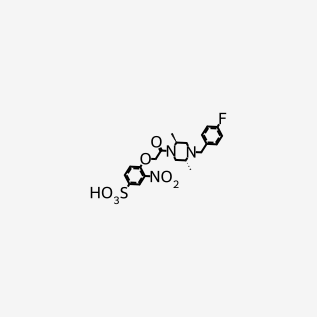 C[C@@H]1CN(C(=O)COc2ccc(S(=O)(=O)O)cc2[N+](=O)[O-])[C@@H](C)CN1Cc1ccc(F)cc1